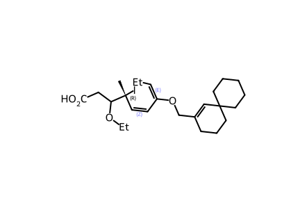 CC/C=C(\C=C/[C@@](C)(I)C(CC(=O)O)OCC)OCC1=CC2(CCCCC2)CCC1